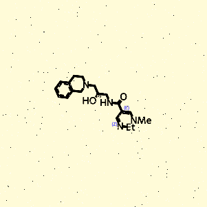 CC/N=C\C(=C/NC)C(=O)NC[C@H](O)CN1CCc2ccccc2C1